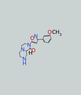 COc1cccc(-c2cc(N3CCN4CCNC[C@@H]4C3=O)on2)c1